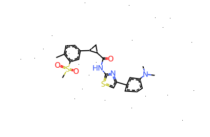 Cc1ccc(C2CC2C(=O)Nc2nc(-c3cccc(N(C)C)c3)cs2)cc1S(C)(=O)=O